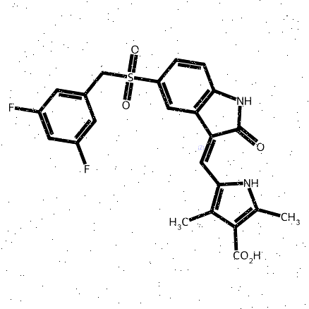 Cc1[nH]c(/C=C2\C(=O)Nc3ccc(S(=O)(=O)Cc4cc(F)cc(F)c4)cc32)c(C)c1C(=O)O